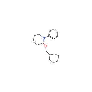 c1ccc(N2CCCCC2OCC2CCCCC2)cc1